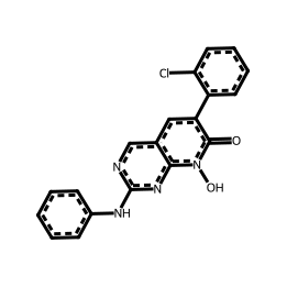 O=c1c(-c2ccccc2Cl)cc2cnc(Nc3ccccc3)nc2n1O